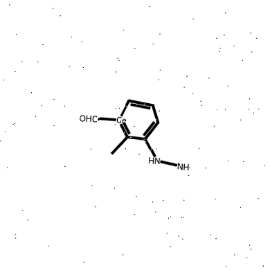 C[C]1=[Ge]([CH]=O)[CH]=CC=C1N[NH]